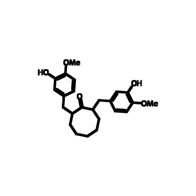 COc1ccc(CC2CCCCCC(Cc3ccc(OC)c(O)c3)C2=O)cc1O